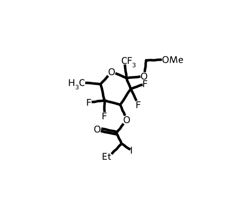 CCC(I)C(=O)OC1C(F)(F)C(C)OC(OCOC)(C(F)(F)F)C1(F)F